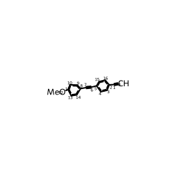 C#Cc1ccc(C#Cc2ccc(OC)cc2)cc1